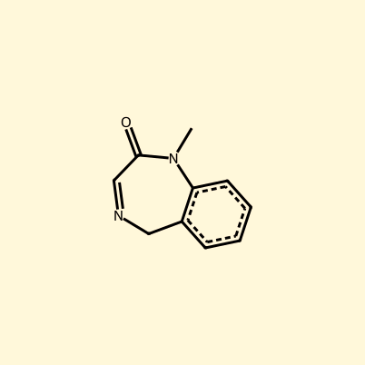 CN1C(=O)C=NCc2ccccc21